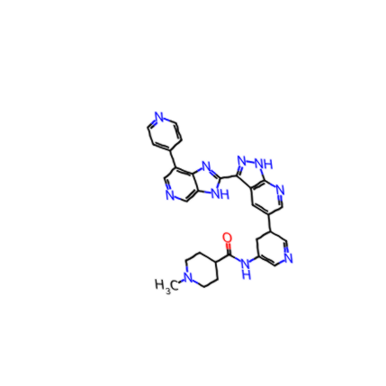 CN1CCC(C(=O)NC2=CN=CC(c3cnc4[nH]nc(-c5nc6c(-c7ccncc7)cncc6[nH]5)c4c3)C2)CC1